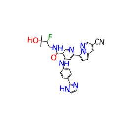 CC(C)(O)C(F)CNC(=O)c1cnc(-c2ccc3cc(C#N)cnn23)cc1Nc1ccc(-c2ncc[nH]2)cc1